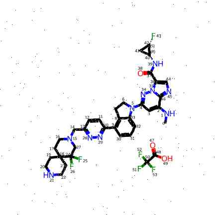 CNc1cc(N2CCc3c(-c4ccc(CN5CCC6(CCNCC6)C(F)(F)C5)nn4)cccc32)nn2c(C(=O)N[C@@H]3C[C@@H]3F)cnc12.O=C(O)C(F)(F)F